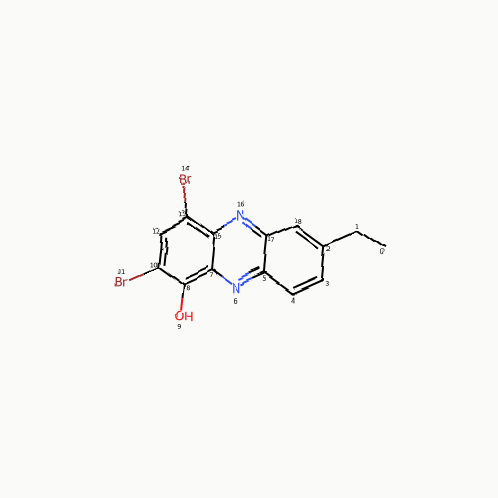 CCc1ccc2nc3c(O)c(Br)cc(Br)c3nc2c1